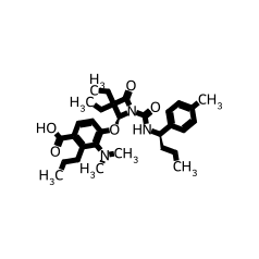 CCCc1c(C(=O)O)ccc(O[C@@H]2N(C(=O)N[C@H](CCC)c3ccc(C)cc3)C(=O)C2(CC)CC)c1N(C)C